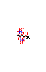 C[C@@H](O[N+](=O)[O-])[C@@H](CCC(=O)C(C)(C)C)O[N+](=O)[O-]